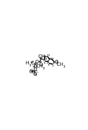 COc1ccc2cc([C@H](C)C(=O)OC(C)(C)CO[N+](=O)[O-])ccc2c1